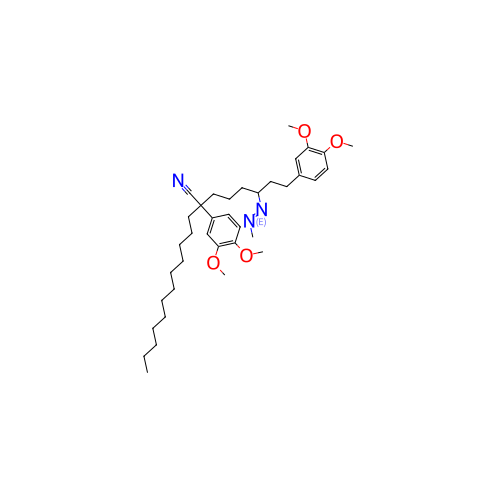 CCCCCCCCCCCCC(C#N)(CCCC(CCc1ccc(OC)c(OC)c1)/N=N/C)c1ccc(OC)c(OC)c1